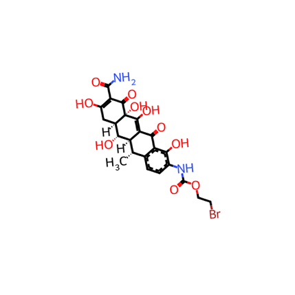 C[C@H]1c2ccc(NC(=O)OCCBr)c(O)c2C(=O)C2=C(O)[C@]3(O)C(=O)C(C(N)=O)=C(O)C[C@@H]3[C@@H](O)[C@@H]21